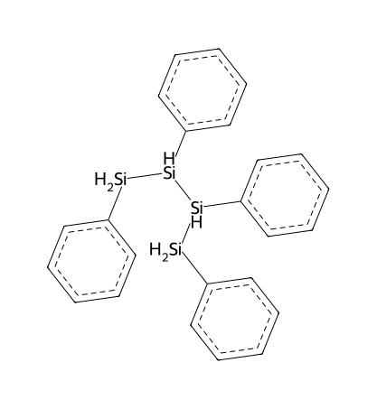 c1ccc([SiH2][SiH](c2ccccc2)[SiH]([SiH2]c2ccccc2)c2ccccc2)cc1